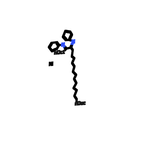 CCCCCCCCCCCCCCCCCCCCCCCC(=Nc1ccccc1)C(CCCCCCCC)=Nc1ccccc1.[Ni]